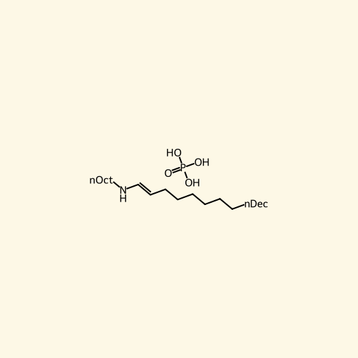 CCCCCCCCCCCCCCCCC=CNCCCCCCCC.O=P(O)(O)O